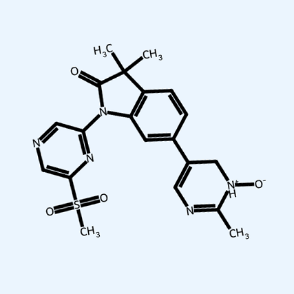 CC1=NC=C(c2ccc3c(c2)N(c2cncc(S(C)(=O)=O)n2)C(=O)C3(C)C)C[NH+]1[O-]